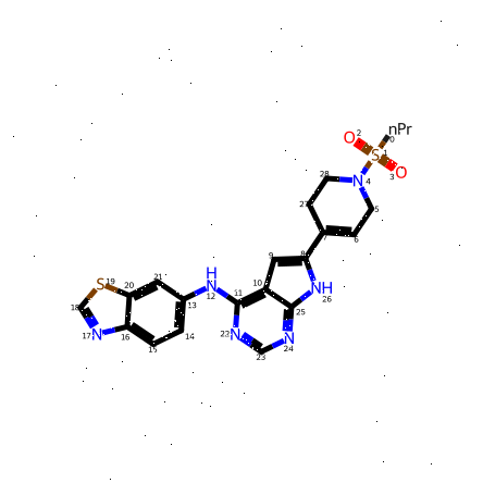 CCCS(=O)(=O)N1CC=C(c2cc3c(Nc4ccc5ncsc5c4)ncnc3[nH]2)CC1